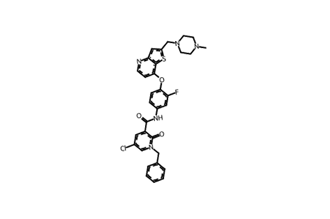 CN1CCN(Cc2cc3nccc(Oc4ccc(NC(=O)c5cc(Cl)cn(Cc6ccccc6)c5=O)cc4F)c3s2)CC1